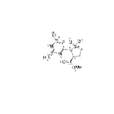 COC(=O)[C@@H]1CCS(=O)(=O)N1c1cc(C(F)(F)F)nc(C)n1